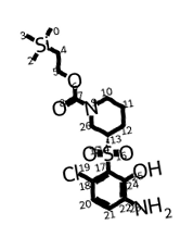 C[Si](C)(C)CCOC(=O)N1CCC[C@H](S(=O)(=O)c2c(Cl)ccc(N)c2O)C1